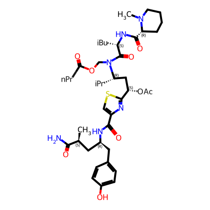 CCCC(=O)OCN(C(=O)[C@@H](NC(=O)[C@H]1CCCCN1C)C(C)CC)[C@H](C[C@H](OC(C)=O)c1nc(C(=O)N[C@@H](Cc2ccc(O)cc2)C[C@H](C)C(N)=O)cs1)C(C)C